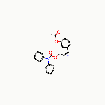 CC(=O)Oc1cccc(/C=C\COC(=O)N(c2ccccc2)c2ccccc2)c1